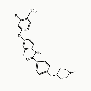 CN1CCC(Oc2ccc(C(=O)Nc3ccc(Oc4ccc([N+](=O)[O-])c(F)c4)cc3F)cc2)CC1